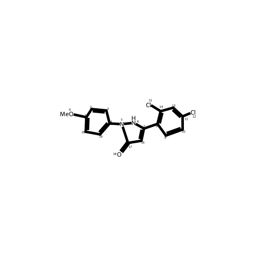 COc1ccc(-n2[nH]c(-c3ccc(Cl)cc3Cl)cc2=O)cc1